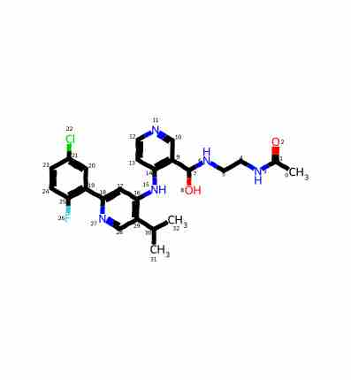 CC(=O)NCCNC(O)c1cnccc1Nc1cc(-c2cc(Cl)ccc2F)ncc1C(C)C